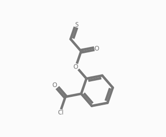 O=C(C=S)Oc1ccccc1C(=O)Cl